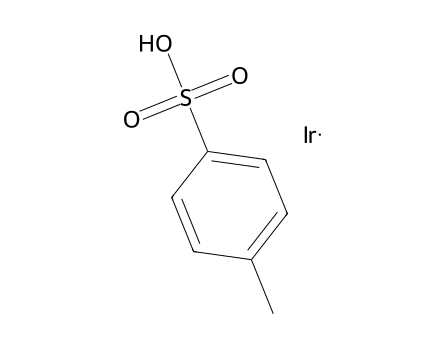 Cc1ccc(S(=O)(=O)O)cc1.[Ir]